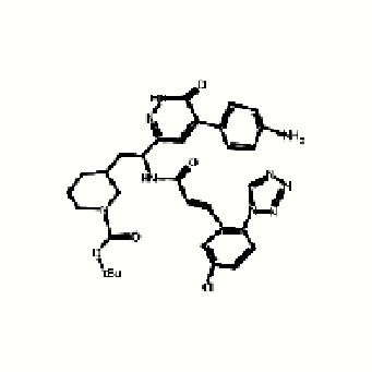 CC(C)(C)OC(=O)N1CCCC(C[C@H](NC(=O)C=Cc2cc(Cl)ccc2-n2cnnn2)c2cc(-c3ccc(N)cc3)c(=O)[nH]n2)C1